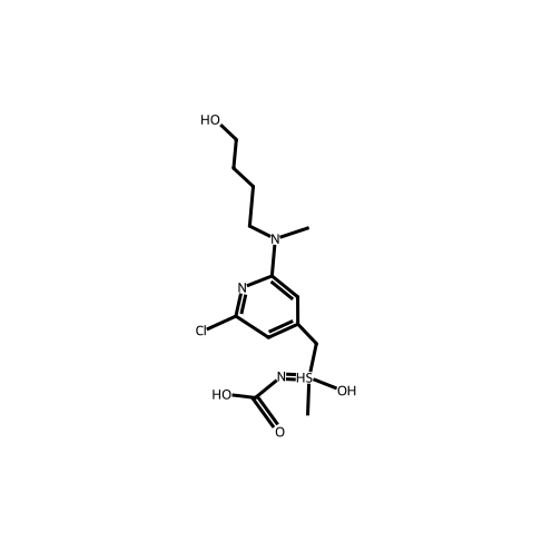 CN(CCCCO)c1cc(C[SH](C)(O)=NC(=O)O)cc(Cl)n1